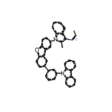 C/C=C\c1c(C)n(-c2ccc3oc4ccc(-c5cccc(-n6c7ccccc7c7ccccc76)c5)cc4c3c2)c2ccccc12